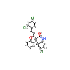 O=C(C=Cc1ccc(Cl)cc1Cl)c1c(-c2ccccc2)c2cc(Cl)ccc2[nH]c1=O